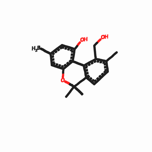 Bc1cc(O)c2c(c1)OC(C)(C)c1ccc(C)c(CO)c1-2